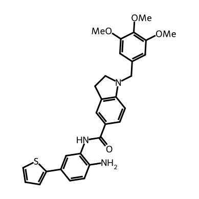 COc1cc(CN2CCc3cc(C(=O)Nc4cc(-c5cccs5)ccc4N)ccc32)cc(OC)c1OC